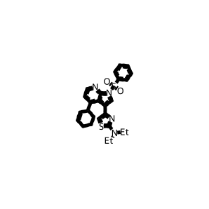 CCN(CC)c1nc(-c2cn(S(=O)(=O)c3ccccc3)c3nccc(C4C=CCCC4)c23)cs1